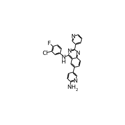 Nc1ccc(-c2ccc3nc(-c4cccnc4)nc(Nc4ccc(F)c(Cl)c4)c3c2)cn1